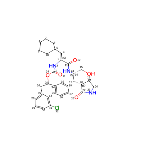 O=C(N[C@@H](CC1CCCCC1)C(=O)N[C@H](CO)C[C@@H]1CCNC1=O)OC(Cc1cccc(Cl)c1)c1ccccc1